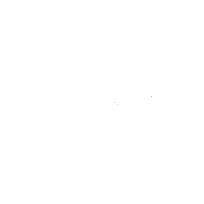 NS(=O)(=O)c1ccc(-c2oc(CC(=O)NO)nc2-c2ccc(Cl)cc2)cc1